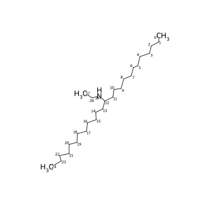 CCCCCCCCCCCCC(CCCCCCCCCCCC)NCC